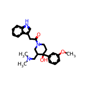 COc1cccc(C2(O)CCN(C(=O)Cc3c[nH]c4ccccc34)CC2CN(C)C)c1